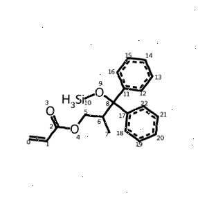 C=CC(=O)OCC(C)C(O[SiH3])(c1ccccc1)c1ccccc1